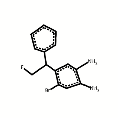 Nc1cc(Br)c(C(CF)c2ccccc2)cc1N